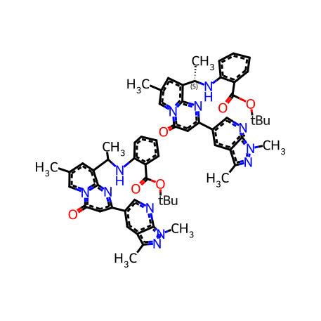 Cc1cc(C(C)Nc2ccccc2C(=O)OC(C)(C)C)c2nc(-c3cnc4c(c3)c(C)nn4C)cc(=O)n2c1.Cc1cc([C@H](C)Nc2ccccc2C(=O)OC(C)(C)C)c2nc(-c3cnc4c(c3)c(C)nn4C)cc(=O)n2c1